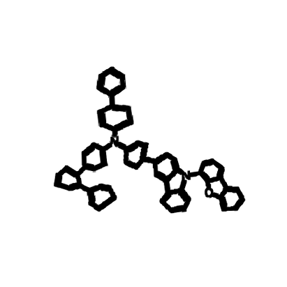 c1ccc(-c2ccc(N(c3ccc(-c4ccc5c(c4)c4ccccc4n5-c4cccc5c4oc4ccccc45)cc3)c3ccc(-c4ccccc4-c4ccccc4)cc3)cc2)cc1